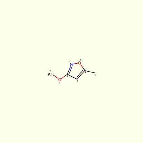 CC(=O)Oc1cc(C)on1